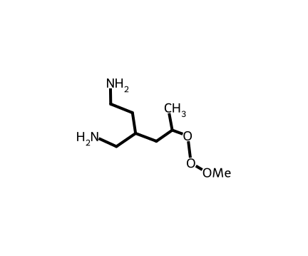 COOOC(C)CC(CN)CCN